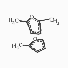 Cc1ccc(C)o1.Cc1ccco1